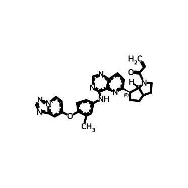 C=CC(=O)N1CCC2CC[C@@H](c3ccc4ncnc(Nc5ccc(Oc6ccn7ncnc7c6)c(C)c5)c4n3)[C@@H]21